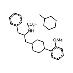 CC1CCCCC1.COc1ccccc1C1CCN(C[C@@H](Cc2ccccc2)NC(=O)O)CC1